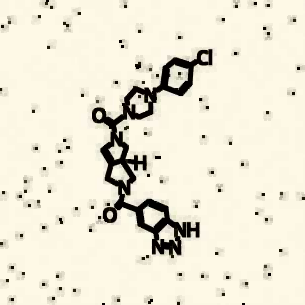 O=C(c1ccc2[nH]nnc2c1)N1CC2=CN(C(=O)N3CCN(c4ccc(Cl)cc4)CC3)C[C@@H]2C1